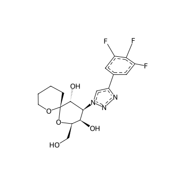 OC[C@H]1O[C@@]2(CCCCO2)[C@H](O)[C@@H](n2cc(-c3cc(F)c(F)c(F)c3)nn2)[C@H]1O